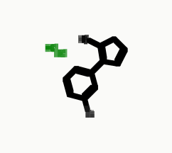 CCc1cccc(C2=[C]([Hf])CC=C2)c1.Cl.Cl